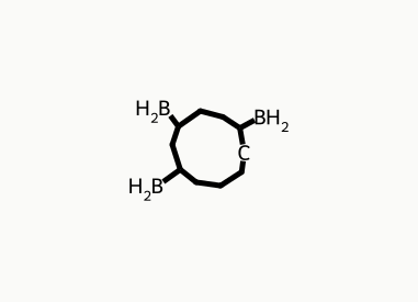 BC1CCCCC(B)CC(B)CC1